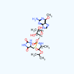 COc1nc(N)nc2c1ncn2[C@@H]1O[C@H](CO[P@](=O)(N[C@@H](C)C(=O)OC(C)C)SCC2NC(=O)NC2=O)[C@@H](O)[C@@]1(C)O